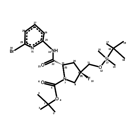 CC(C)(C)OC(=O)N1C[C@@](F)(CO[Si](C)(C)C(C)(C)C)C[C@H]1C(=O)Nc1cccc(Br)n1